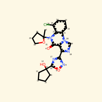 CC1(n2c(=O)c3c(-c4noc(C5(O)CCCC5)n4)ncn3c3cccc(Cl)c32)CCCO1